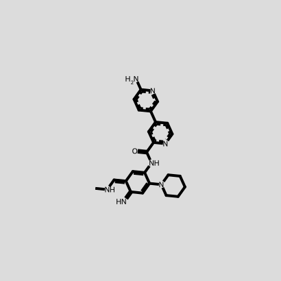 CN/C=C1/C=C(NC(=O)c2cc(-c3ccc(N)nc3)ccn2)C(N2CCCCC2)=CC1=N